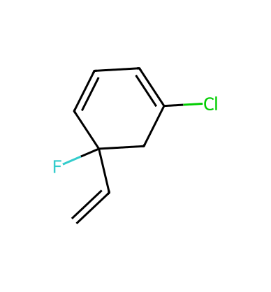 C=CC1(F)C=CC=C(Cl)C1